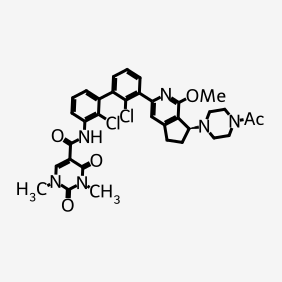 COc1nc(-c2cccc(-c3cccc(NC(=O)c4cn(C)c(=O)n(C)c4=O)c3Cl)c2Cl)cc2c1[C@@H](N1CCN(C(C)=O)CC1)CC2